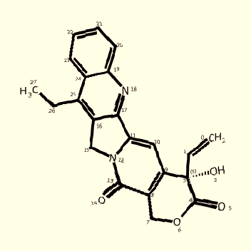 C=C[C@@]1(O)C(=O)OCc2c1cc1n(c2=O)Cc2c-1nc1ccccc1c2CC